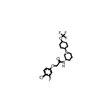 O=C(COc1ccc(Cl)c(F)c1)N[C@H]1CCCN(C2CCC(OC(F)(F)F)CC2)C1